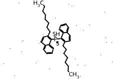 CCCCCCCCc1ccc2ccccc2c1P(=S)(S)c1c(CCCCCCCC)ccc2ccccc12